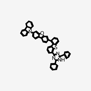 C1=CC2C(CC1)c1ccccc1N2c1ccc2c(c1)oc1cc(-c3cccc4sc5c(C6=NC(c7ccccc7)NC(c7ccccc7)=N6)cccc5c34)ccc12